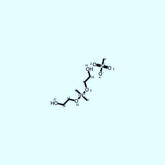 CS(=O)(=O)[O-].C[N+](C)(OCCO)OCCO